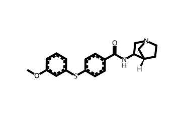 COc1cccc(Sc2ccc(C(=O)NC3CN4CC[C@H]3C4)cc2)c1